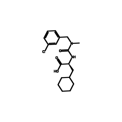 CN(Cc1cccc(Cl)c1)C(=O)N[C@@H](CC1CCCCC1)C(=O)O